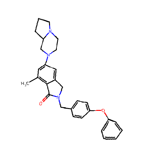 Cc1cc(N2CCN3CCCC3C2)cc2c1C(=O)N(Cc1ccc(Oc3ccccc3)cc1)C2